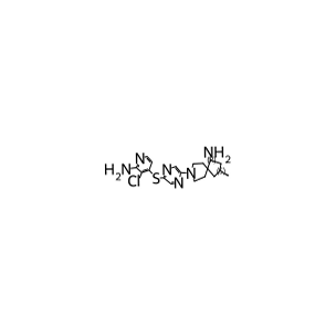 C[C@@H]1C[C@@H](N)C2(CCN(c3cnc(Sc4ccnc(N)c4Cl)cn3)CC2)C1